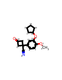 COc1ccc(C2(C#N)CC(=O)C2)cc1OC1CCCC1